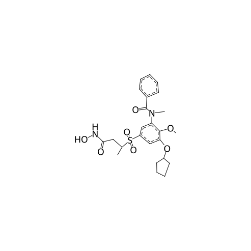 COc1c(OC2CCCC2)cc(S(=O)(=O)C(C)CC(=O)NO)cc1N(C)C(=O)c1ccccc1